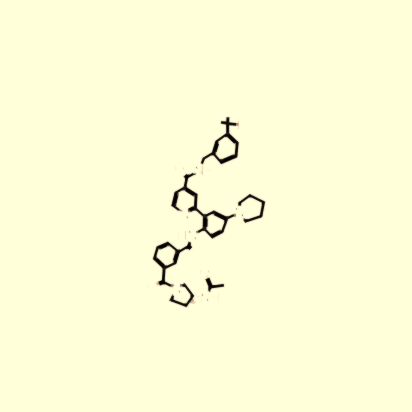 CC(=O)N[C@@H]1CCN(C(=O)c2cccc(C(=O)Nc3ccc(N4CCCCC4)cc3-c3cc(C(=O)NCc4cccc(C(F)(F)F)c4)ccn3)c2)C1